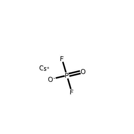 O=P([O-])(F)F.[Cs+]